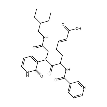 CCC(CC)CNC(=O)CN(C(=O)C(CCC=CC(=O)O)NC(=O)c1cccnc1)c1ccc[nH]c1=O